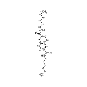 CCCCCCNC(=O)c1ccc2c(c1)CCC(C(=O)NCCCCCC)C2